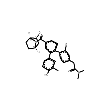 CN(C)C(=O)Cc1ccc(-c2ccc(C(=O)N3[C@@H]4CC[C@H]3[C@@H](N)C4)cc2-c2ccc(C#N)c(F)c2)c(F)c1